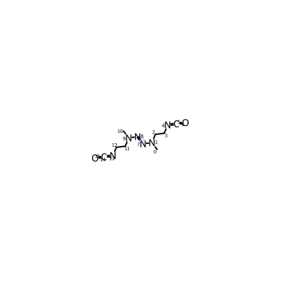 CN(CCN=C=O)/N=N/N(C)CCN=C=O